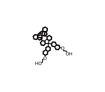 OCCOc1ccc2cc(C3(c4ccc5cc(OCCO)ccc5c4)c4cccc(-c5c6ccccc6cc6ccccc56)c4-c4c(-c5c6ccccc6cc6ccccc56)cccc43)ccc2c1